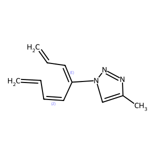 C=C/C=C\C(=C/C=C)n1cc(C)nn1